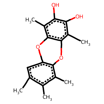 Cc1cc2c(c(C)c1C)Oc1c(C)c(O)c(O)c(C)c1O2